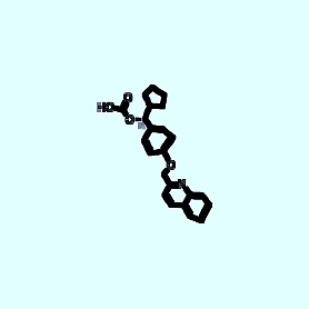 O=C(O)O[C@@H](c1ccc(OCc2ccc3ccccc3n2)cc1)C1CCCC1